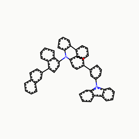 c1ccc(-c2ccccc2N(c2ccc(-c3cccc(-n4c5ccccc5c5ccccc54)c3)cc2)c2ccc(-c3ccc4ccccc4c3)c3ccccc23)cc1